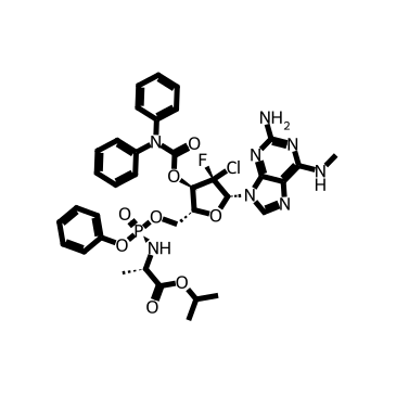 CNc1nc(N)nc2c1ncn2[C@@H]1O[C@H](CO[P@](=O)(N[C@@H](C)C(=O)OC(C)C)Oc2ccccc2)[C@@H](OC(=O)N(c2ccccc2)c2ccccc2)[C@]1(F)Cl